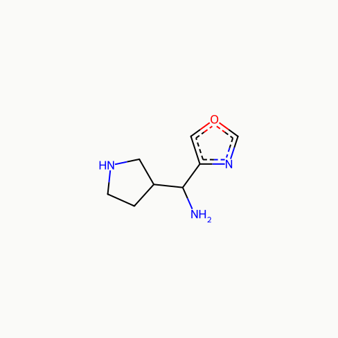 NC(c1cocn1)C1CCNC1